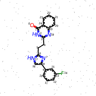 O=c1[nH]c(CCc2nc(-c3cccc(F)c3)c[nH]2)nc2ccccc12